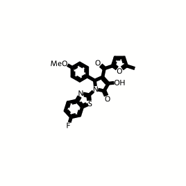 COc1ccc(C2C(C(=O)c3ccc(C)o3)=C(O)C(=O)N2c2nc3ccc(F)cc3s2)cc1